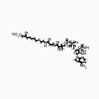 CC(C)(COP(=O)(O)OP(=O)(O)OC[C@H]1O[C@@H](n2cnc3c(N)ncnc32)[C@H](O)[C@@H]1OP(=O)(O)O)C(O)C(=O)NCCC(=O)NCCSCCCCCC(=O)CC(=O)O